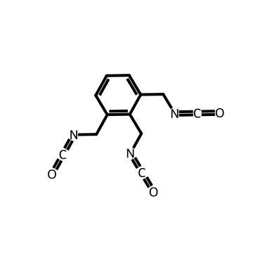 O=C=NCc1cccc(CN=C=O)c1CN=C=O